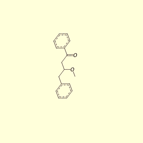 COC(CC(=O)c1ccccc1)Cc1ccccc1